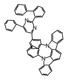 c1ccc(-c2cc(-c3cccc(-n4c5ccccc5c5ccc6c7ccccc7n(-c7ccccc7)c6c54)c3)nc(-c3ccccc3-c3ccccc3)n2)cc1